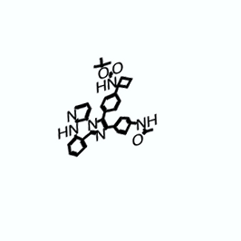 CC(=O)Nc1ccc(-c2nc3n(c2-c2ccc(C4(NC(=O)OC(C)(C)C)CCC4)cc2)-c2cccnc2Nc2ccccc2-3)cc1